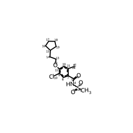 CS(=O)(=O)NC(=O)c1cc(Cl)c(OCCC2CCCC2)cc1F